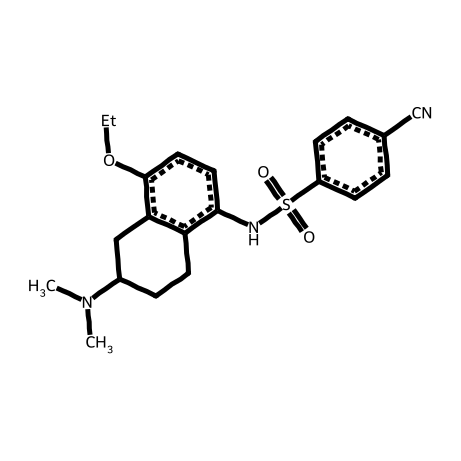 CCOc1ccc(NS(=O)(=O)c2ccc(C#N)cc2)c2c1CC(N(C)C)CC2